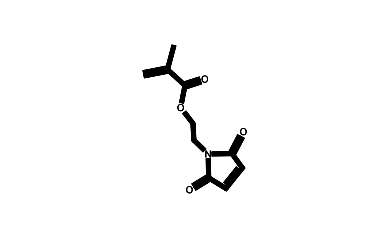 C=C(C)C(=O)OCCN1C(=O)C=CC1=O